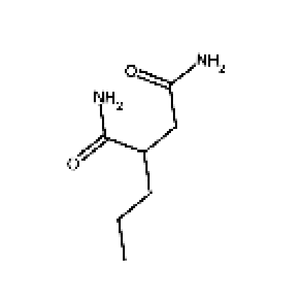 CCCC(CC(N)=O)C(N)=O